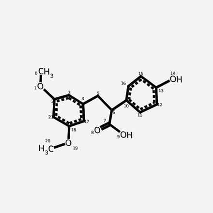 COc1cc(CC(C(=O)O)c2ccc(O)cc2)cc(OC)c1